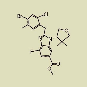 COC(=O)c1cc(F)c2nc(Cc3cc(C)c(Br)cc3Cl)n([C@@H]3COCC3(C)C)c2c1